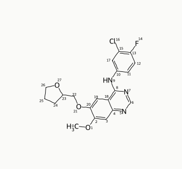 COc1cc2ncnc(Nc3ccc(F)c(Cl)c3)c2cc1OCC1CCCO1